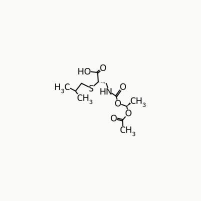 CC(=O)O[C@H](C)OC(=O)NC[C@H](SCC(C)C)C(=O)O